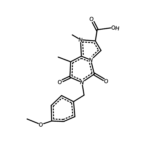 COc1ccc(Cn2c(=O)c(C)c3n(C)c(C(=O)O)cn3c2=O)cc1